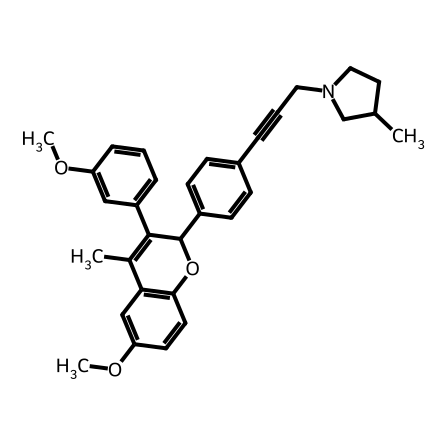 COc1cccc(C2=C(C)c3cc(OC)ccc3OC2c2ccc(C#CCN3CCC(C)C3)cc2)c1